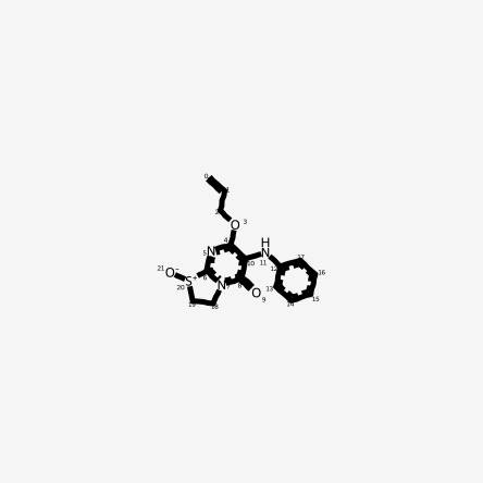 C=CCOc1nc2n(c(=O)c1Nc1ccccc1)CC[S+]2[O-]